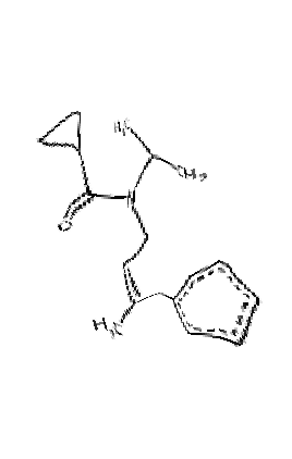 C/C(=C/CN(C(=O)C1CC1)C(C)C)c1ccccc1